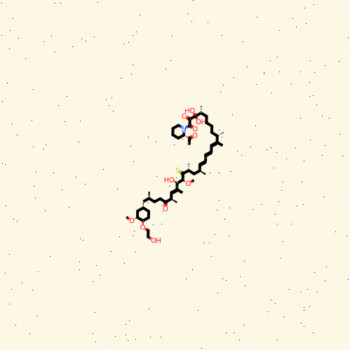 CO[C@@H]1C[C@H](C[C@@H](C)CCC(=O)[C@H](C)/C=C(\C)[C@@H](O)[C@@H](OC)C(=S)[C@H](C)C[C@H](C)/C=C/C=C/C=C(\C)[C@@H](C)CCCC[C@@H](C)C(O)(O)C(=O)C(=O)N2CCCC[C@H]2C(C)=O)CC[C@H]1OCCO